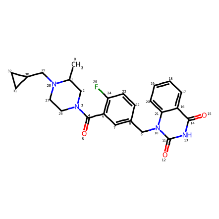 CC1CN(C(=O)c2cc(Cn3c(=O)[nH]c(=O)c4ccccc43)ccc2F)CCN1CC1CC1